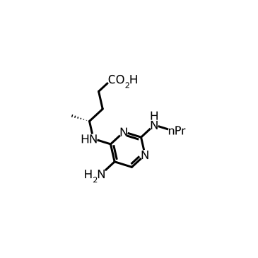 CCCNc1ncc(N)c(N[C@H](C)CCC(=O)O)n1